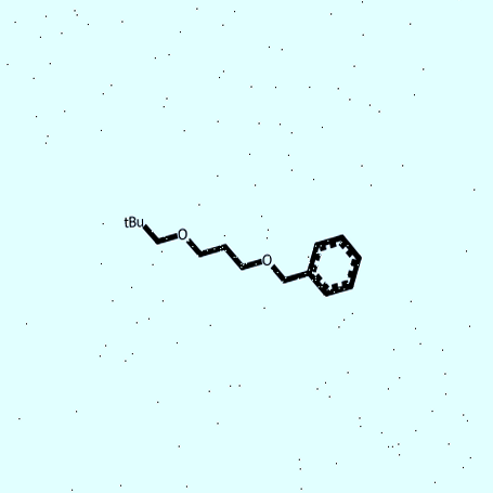 CC(C)(C)COCCCOCc1ccccc1